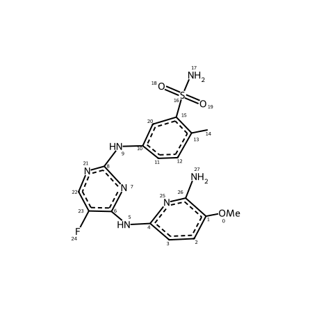 COc1ccc(Nc2nc(Nc3ccc(C)c(S(N)(=O)=O)c3)ncc2F)nc1N